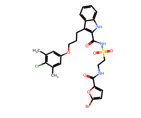 Cc1cc(OCCCc2c(C(=O)NS(=O)(=O)CCNC(=O)c3ccc(Br)o3)[nH]c3ccccc23)cc(C)c1Cl